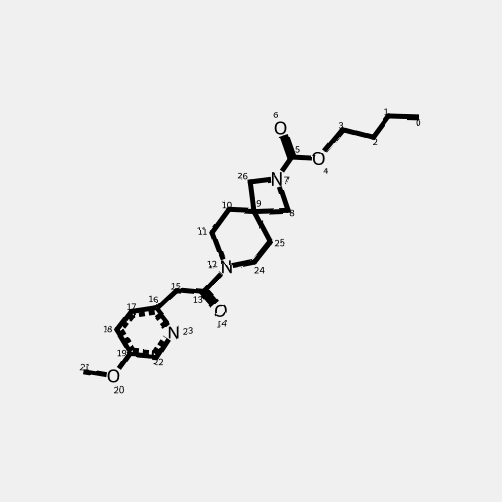 CCCCOC(=O)N1CC2(CCN(C(=O)Cc3ccc(OC)cn3)CC2)C1